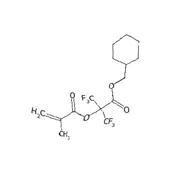 C=C(C)C(=O)OC(C(=O)OCC1CCCCC1)(C(F)(F)F)C(F)(F)F